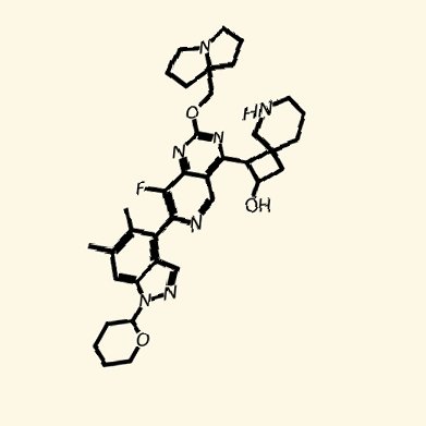 Cc1cc2c(cnn2C2CCCCO2)c(-c2ncc3c(C4C(O)CC45CCCNC5)nc(OCC45CCCN4CCC5)nc3c2F)c1C